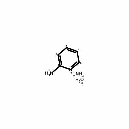 N.Nc1ccccn1.O